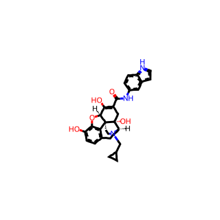 O=C(Nc1ccc2[nH]ccc2c1)C1=C(O)[C@@H]2Oc3c(O)ccc4c3[C@@]23CCN(CC2CC2)[C@H](C4)[C@]3(O)C1